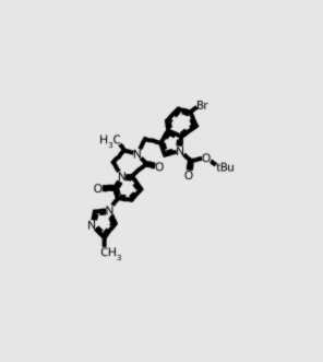 Cc1cn(-c2ccc3n(c2=O)CC(C)N(Cc2cn(C(=O)OC(C)(C)C)c4cc(Br)ccc24)C3=O)cn1